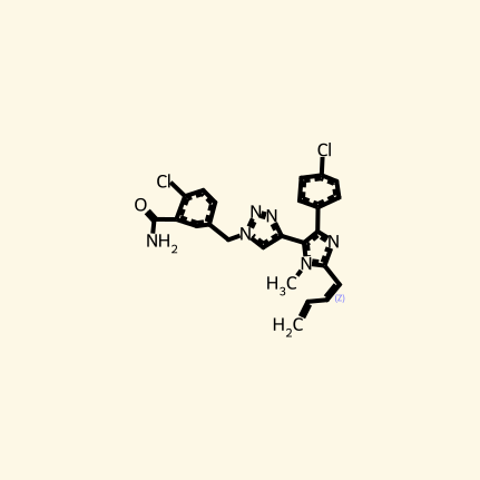 C=C/C=C\c1nc(-c2ccc(Cl)cc2)c(-c2cn(Cc3ccc(Cl)c(C(N)=O)c3)nn2)n1C